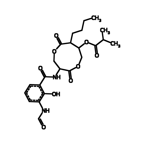 CCCCC1C(=O)OCC(NC(=O)c2cccc(NC=O)c2O)C(=O)OCC1OC(=O)C(C)C